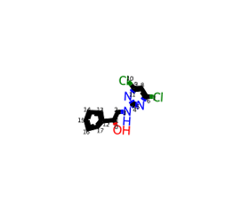 OC(CNc1nc(Cl)cc(Cl)n1)c1ccccc1